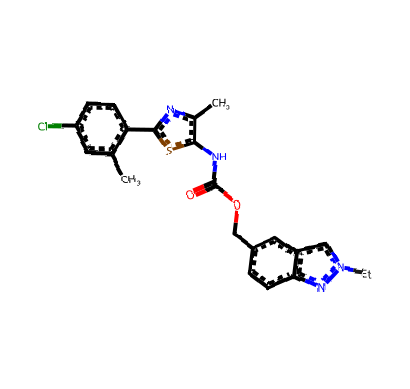 CCn1cc2cc(COC(=O)Nc3sc(-c4ccc(Cl)cc4C)nc3C)ccc2n1